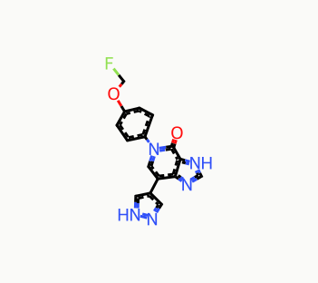 O=c1c2[nH]cnc2c(-c2cn[nH]c2)cn1-c1ccc(OCF)cc1